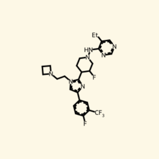 CCc1cncnc1NN1CCC(c2nc(-c3ccc(F)c(C(F)(F)F)c3)cn2CCN2CCC2)C(F)C1